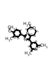 COc1ccc(-c2nc(-c3cc(C)nc(C)c3)c3n2C[C@@H](C)OCC3)cc1C